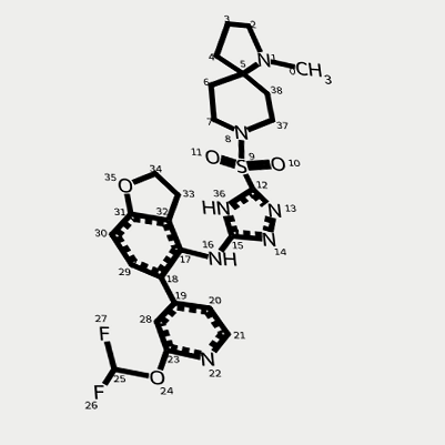 CN1CCCC12CCN(S(=O)(=O)c1nnc(Nc3c(-c4ccnc(OC(F)F)c4)ccc4c3CCO4)[nH]1)CC2